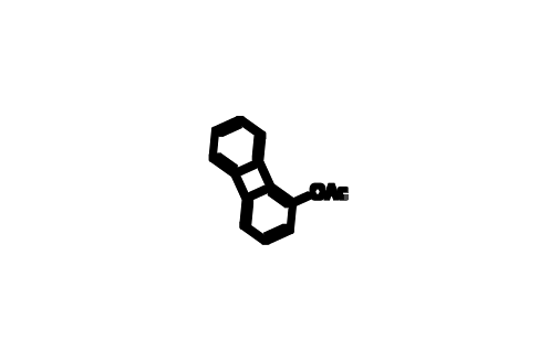 CC(=O)Oc1cccc2c1-c1ccccc1-2